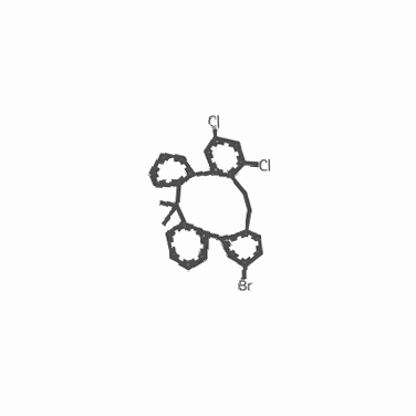 CC1(C)c2ccccc2-c2cc(Br)ccc2CCc2c(Cl)cc(Cl)cc2-c2ccccc21